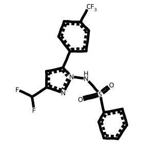 O=S(=O)(Nn1nc(C(F)F)cc1-c1ccc(C(F)(F)F)cc1)c1ccccc1